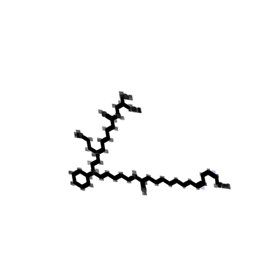 CCCCC/C=C\C/C=C\CCCCCCCC(=O)OCCCCCN(CCN(CCO)CCCCCC(=O)OCC(CCCCCCCC)CCCCCCCC)C1CCCCC1